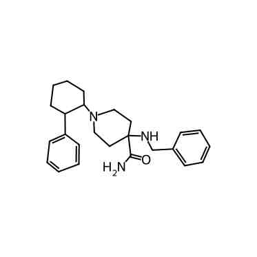 NC(=O)C1(NCc2ccccc2)CCN(C2CCCCC2c2ccccc2)CC1